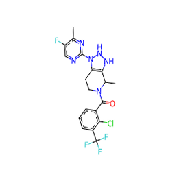 Cc1nc(N2NNC3=C2CCN(C(=O)c2cccc(C(F)(F)F)c2Cl)C3C)ncc1F